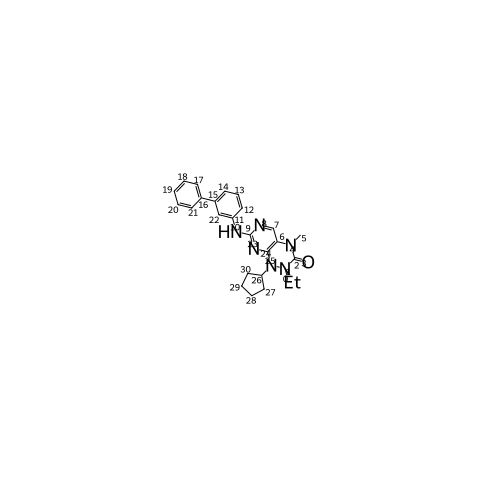 CCN1C(=O)N(C)c2cnc(Nc3cccc(-c4ccccc4)c3)nc2N1C1CCCC1